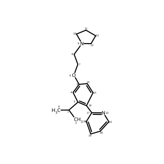 CC(C)c1cc(OCCN2CCCC2)ccc1-c1ccc[c]n1